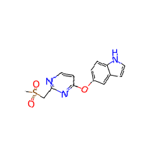 CS(=O)(=O)Cc1nccc(Oc2ccc3[nH]ccc3c2)n1